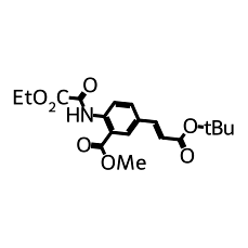 CCOC(=O)C(=O)Nc1ccc(C=CC(=O)OC(C)(C)C)cc1C(=O)OC